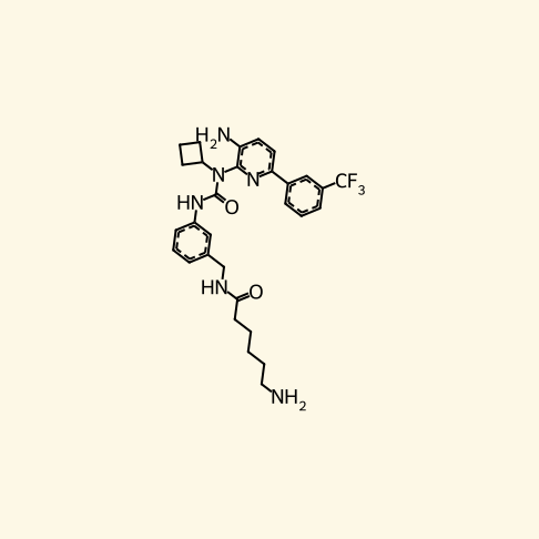 NCCCCCC(=O)NCc1cccc(NC(=O)N(c2nc(-c3cccc(C(F)(F)F)c3)ccc2N)C2CCC2)c1